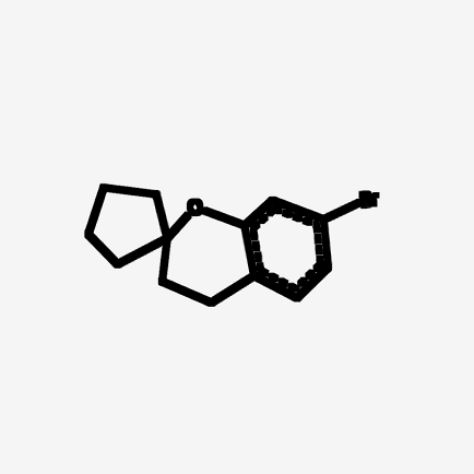 Brc1ccc2c(c1)OC1(CCCC1)CC2